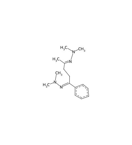 CC(CCC(=NN(C)C)c1ccccc1)=NN(C)C